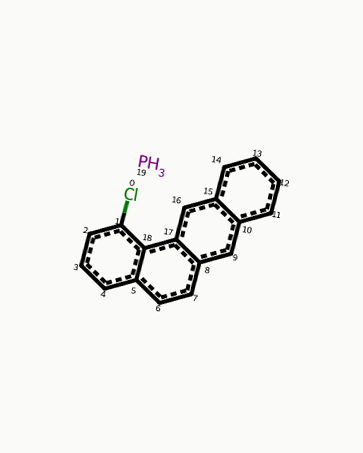 Clc1cccc2ccc3cc4ccccc4cc3c12.P